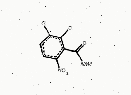 CNC(=O)c1c([N+](=O)[O-])ccc(Cl)c1Cl